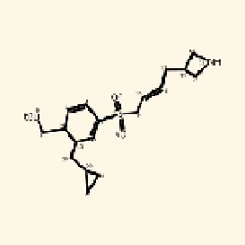 CC(C)(C)CC1C=CC(S(=O)(=O)CC=CCC2CNC2)=CC1CC1CC1